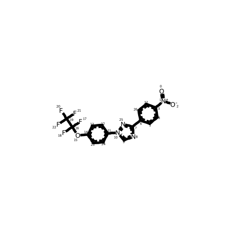 O=[N+]([O-])c1ccc(-c2ncn(-c3ccc(OC(F)(F)C(F)(F)F)cc3)n2)cc1